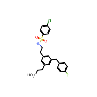 O=C(O)CCc1cc(CCNS(=O)(=O)c2ccc(Cl)cc2)cc(Cc2ccc(F)cc2)c1